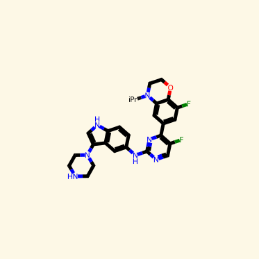 CC(C)N1CCOc2c(F)cc(-c3nc(Nc4ccc5[nH]cc(N6CCNCC6)c5c4)ncc3F)cc21